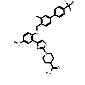 COc1ccc(OCc2ccc(-c3ccc(C(F)(F)F)cc3)cc2C)c(-c2csc(N3CCC(C(=O)O)CC3)n2)c1